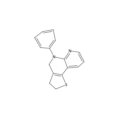 c1ccc(N2CC3=C(SCC3)c3cccnc32)cc1